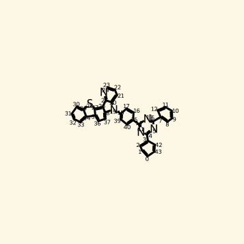 c1ccc(-c2nc(-c3ccccc3)nc(-c3ccc(-n4c5cccnc5c5c6sc7ccccc7c6ccc54)cc3)n2)cc1